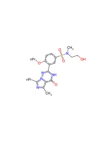 CCCOc1ccc(S(=O)(=O)N(C)CCO)cc1-c1nn2c(CCC)nc(C)c2c(=O)[nH]1